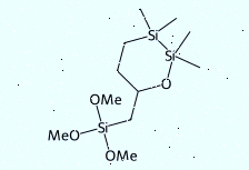 CO[Si](CC1CC[Si](C)(C)[Si](C)(C)O1)(OC)OC